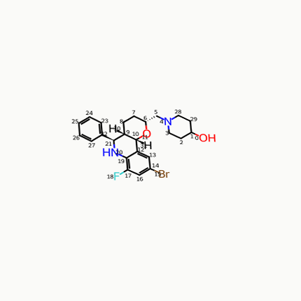 OC1CCN(C[C@H]2CC[C@@H]3[C@H](O2)c2cc(Br)cc(F)c2N[C@H]3c2ccccc2)CC1